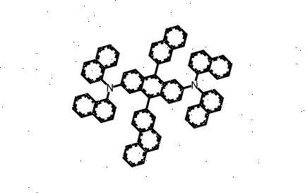 c1ccc2cc(-c3c4ccc(N(c5cccc6ccccc56)c5cccc6ccccc56)cc4c(-c4ccc5c(ccc6ccccc65)c4)c4ccc(N(c5cccc6ccccc56)c5cccc6ccccc56)cc34)ccc2c1